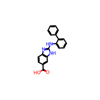 O=C(O)c1ccc2nc(Nc3ccccc3-c3ccccc3)[nH]c2c1